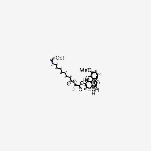 CCCCCCCC/C=C\CCCCCCCC(=O)O[C@@H](C)C(=O)OC1=CC[C@]2(O)[C@H]3CCC[C@]24c2c(ccc(OC)c2O[C@H]14)C3